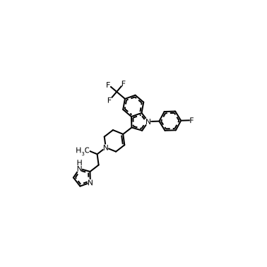 CC(Cc1ncc[nH]1)N1CC=C(c2cn(-c3ccc(F)cc3)c3ccc(C(F)(F)F)cc23)CC1